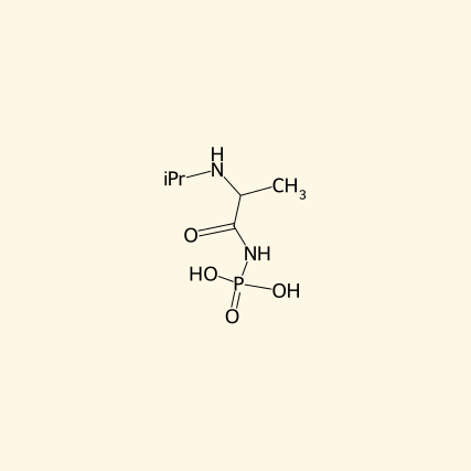 CC(C)NC(C)C(=O)NP(=O)(O)O